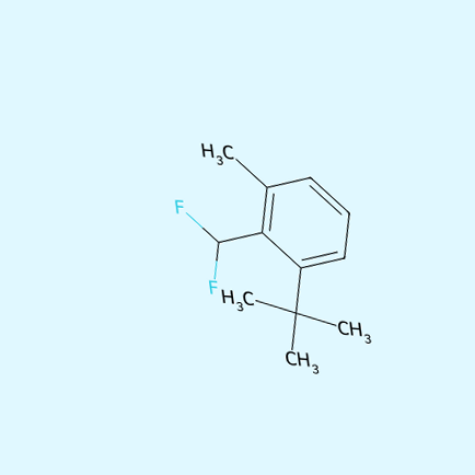 Cc1cccc(C(C)(C)C)c1C(F)F